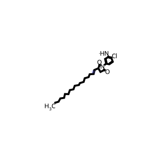 CCCCCCCCCCCCCCCC/C=C/C1CC(=O)N(c2ccc(Cl)c([NH])c2)C1=O